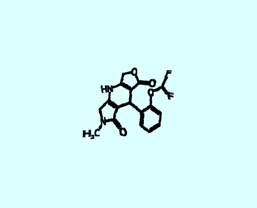 CN1CC2=C(C1=O)C(c1ccccc1OC(F)F)C1=C(COC1=O)N2